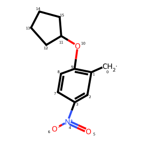 [CH2]c1cc([N+](=O)[O-])ccc1OC1CCCC1